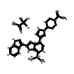 CC(=O)N1CCC(n2cc(-c3cnc(N(C)C)c4oc(-c5csc6cnccc56)cc34)cn2)CC1.O=C(O)C(F)(F)F